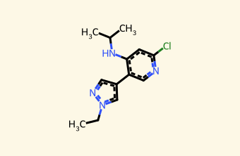 CCn1cc(-c2cnc(Cl)cc2NC(C)C)cn1